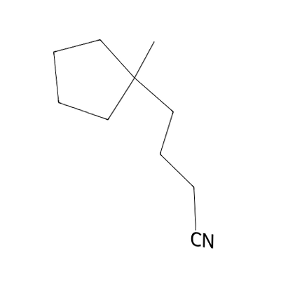 CC1(CCCC#N)CCCC1